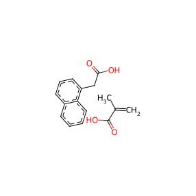 C=C(C)C(=O)O.O=C(O)Cc1cccc2ccccc12